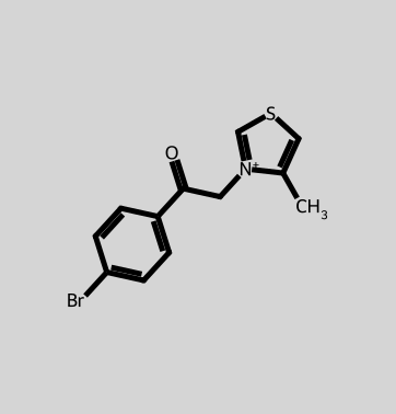 Cc1csc[n+]1CC(=O)c1ccc(Br)cc1